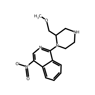 COCC1CNCCN1c1ncc([N+](=O)[O-])c2ccccc12